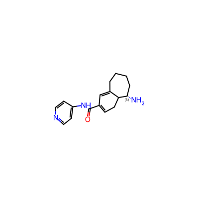 N[C@H]1CCCCC2=CC(C(=O)Nc3ccncc3)=CCC21